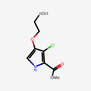 CCCCCCCCCCOc1c[nH]c(C(=O)OC)c1Cl